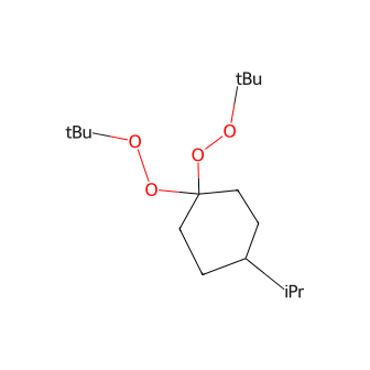 CC(C)C1CCC(OOC(C)(C)C)(OOC(C)(C)C)CC1